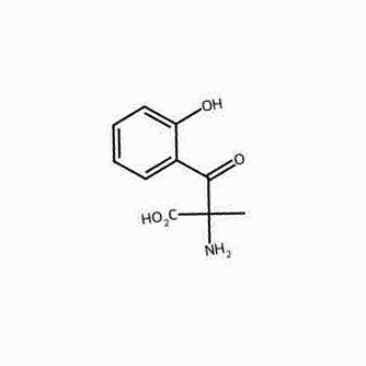 CC(N)(C(=O)O)C(=O)c1ccccc1O